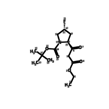 CCOC(=O)CC(=O)[C@@H]1C[C@@H](F)CN1C(=O)OC(C)(C)C